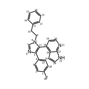 Fc1ccc(-c2ncn(CCc3ccccc3)c2-c2ccnc3[nH]ccc23)cc1